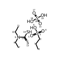 CCCS(=O)(=O)O.CCN(CC)C(=S)S.O=S(=O)(O)O